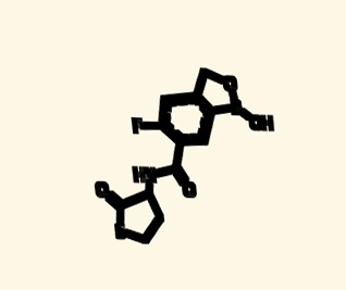 O=C(NC1CCSC1=O)c1cc2c(cc1F)COB2O